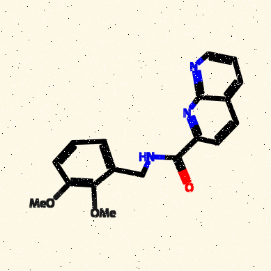 COc1cccc(CNC(=O)c2ccc3cccnc3n2)c1OC